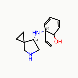 C=C[C@@]1(N[C@@H]2CNCC23CC3)C=CC=CC1O